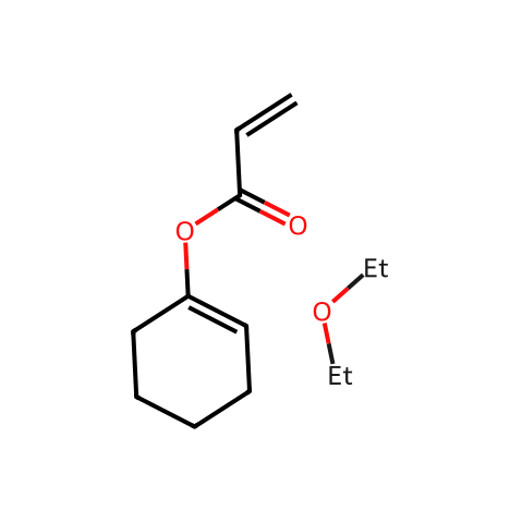 C=CC(=O)OC1=CCCCC1.CCOCC